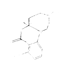 Cc1cccc2c1C(=O)N[C@@H]1CCN(C)CCN21